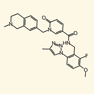 COc1ccc(-n2cc(C)nn2)c(CNC(=O)c2ccc(=O)n(Cc3ccc4c(c3)CN(C)CC4)c2)c1F